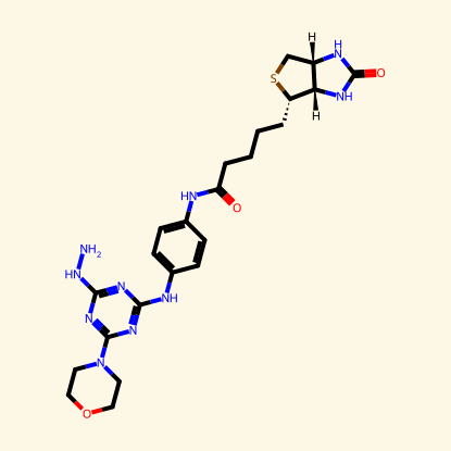 NNc1nc(Nc2ccc(NC(=O)CCCC[C@@H]3SC[C@@H]4NC(=O)N[C@@H]43)cc2)nc(N2CCOCC2)n1